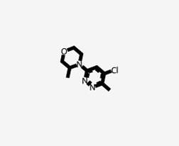 Cc1nnc(N2CCOCC2C)cc1Cl